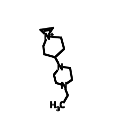 CCN1CCN(C2CC[N+]3(C=C3)CC2)CC1